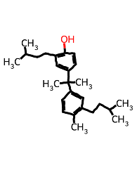 Cc1ccc(C(C)(C)c2ccc(O)c(CCC(C)C)c2)cc1CCC(C)C